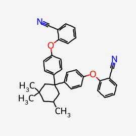 CC1CC(C)(C)CC(c2ccc(Oc3ccccc3C#N)cc2)(c2ccc(Oc3ccccc3C#N)cc2)C1